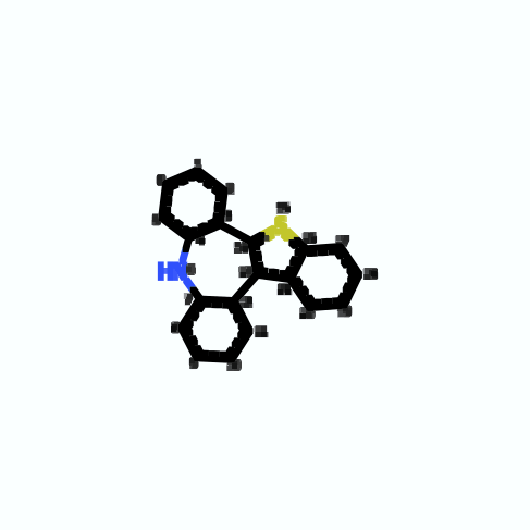 c1ccc2c(c1)Nc1ccccc1-c1c-2sc2ccccc12